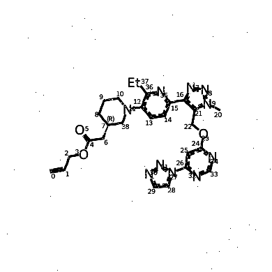 C=CCOC(=O)C[C@H]1CCCN(c2ccc(-c3nnn(C)c3COc3cc(-n4ccnn4)ncn3)nc2CC)C1